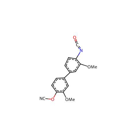 COc1cc(-c2ccc(OC#N)c(OC)c2)ccc1N=C=O